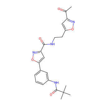 CC(=O)c1cc(CCNC(=O)c2cc(-c3cccc(NC(=O)C(C)(C)C)c3)on2)on1